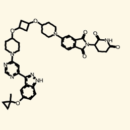 CC1(Oc2ccc3[nH]nc(-c4cc(N5CCC(OC6CC(OC7CCN(c8ccc9c(c8)C(=O)N(C8CCC(=O)NC8=O)C9=O)CC7)C6)CC5)ncn4)c3c2)CC1